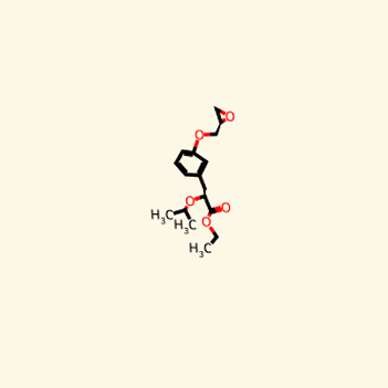 CCOC(=O)[C@H](Cc1cccc(OC[C@H]2CO2)c1)OC(C)C